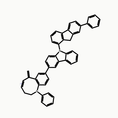 C=C1/C=C\CCN(c2ccccc2)c2ccc(-c3ccc4c(c3)c3ccccc3n4-c3cccc4c3Cc3cc(-c5ccccc5)ccc3-4)cc21